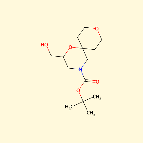 CC(C)(C)OC(=O)N1CC(CO)OC2(CCOCC2)C1